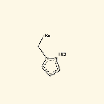 CCCCCn1cccn1.Cl